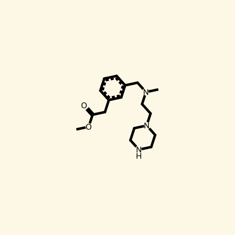 COC(=O)Cc1cccc(CN(C)CCN2CCNCC2)c1